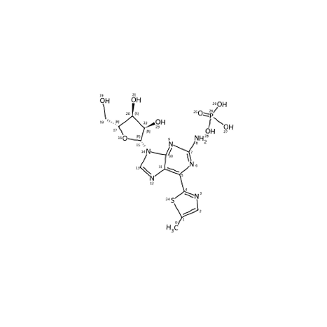 Cc1cnc(-c2nc(N)nc3c2ncn3[C@@H]2O[C@H](CO)[C@@H](O)[C@H]2O)s1.O=P(O)(O)O